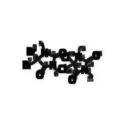 CN1C(=O)N(C)C(Br)(Br)C1=O.CN1C(=O)N(C)C(Cl)(Cl)C1=O